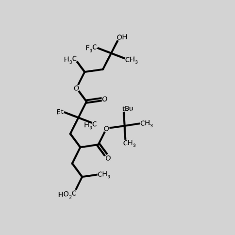 CCC(C)(CC(CC(C)C(=O)O)C(=O)OC(C)(C)C(C)(C)C)C(=O)OC(C)CC(C)(O)C(F)(F)F